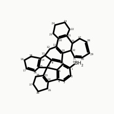 Bc1ccc2c(c1)C1(C3=CC4=C(CC3C3=C1C=CCC3)C1=C(CCCC1)C1CC=CC=CC41)C1=C2CCCC1